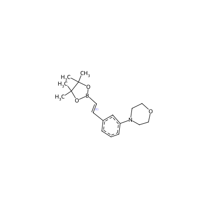 CC1(C)OB(/C=C/c2cccc(N3CCOCC3)c2)OC1(C)C